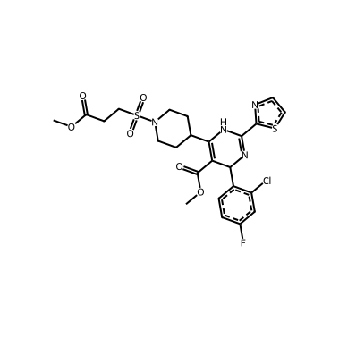 COC(=O)CCS(=O)(=O)N1CCC(C2=C(C(=O)OC)C(c3ccc(F)cc3Cl)N=C(c3nccs3)N2)CC1